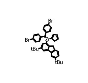 CC(C)(C)c1ccc2c(c1)-c1cc(C(C)(C)C)c[c]([Zr]([C]3=CC=CC3)=[C](c3ccc(Br)cc3)c3ccc(Br)cc3)c1C2